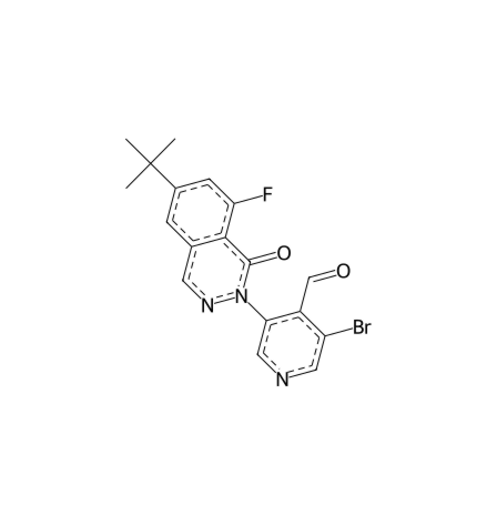 CC(C)(C)c1cc(F)c2c(=O)n(-c3cncc(Br)c3C=O)ncc2c1